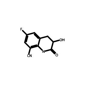 N#Cc1cc(F)cc2c1[N]C(=O)C(O)C2